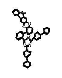 CC1(C)c2ccccc2-c2cc3c(cc21)Oc1cccc(-c2ccccc2-c2nc(-c4ccc(-c5ccccc5)cc4)nc(-c4ccc(-c5ccccc5)cc4)n2)c1O3